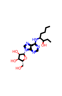 CCCCC(Nc1ncnc2c1ncn2[C@@H]1O[C@H](CO)[C@@H](O)[C@H]1O)C(O)CC